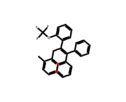 Cc1cccnc1CC(=C(c1ccccc1)c1ccccc1)c1ccccc1OC(F)(F)F